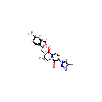 Cc1cn(-c2ccc3n(c2=O)C[C@@H](C)N(Cc2occ4cc(C(F)(F)F)ccc24)C3=O)cn1